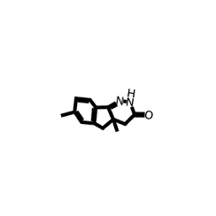 Cc1ccc2c(c1)CC1(C)CC(=O)NN=C21